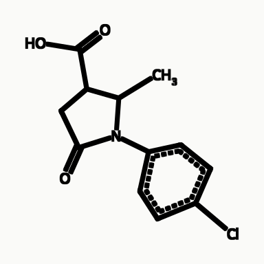 CC1C(C(=O)O)CC(=O)N1c1ccc(Cl)cc1